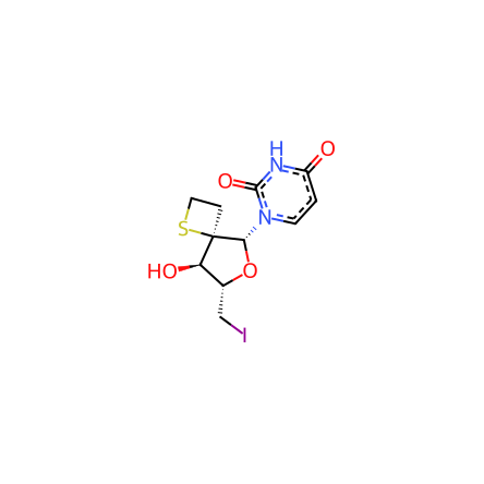 O=c1ccn([C@@H]2O[C@H](CI)[C@@H](O)[C@]23CCS3)c(=O)[nH]1